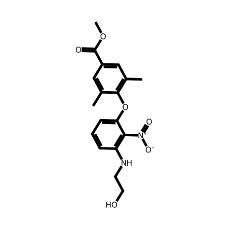 COC(=O)c1cc(C)c(Oc2cccc(NCCO)c2[N+](=O)[O-])c(C)c1